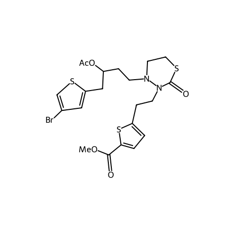 COC(=O)c1ccc(CCN2C(=O)SCCN2CCC(Cc2cc(Br)cs2)OC(C)=O)s1